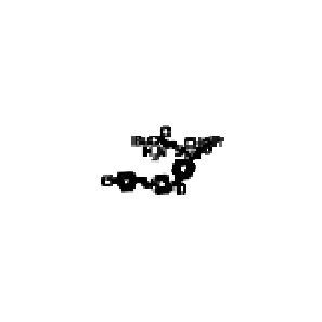 CC(C)COC(=O)C(N)CSC(C=O)N(CCOC(C)C)c1ccc(C(=O)N2CCN(CCc3ccc(Cl)cc3)CC2)cc1